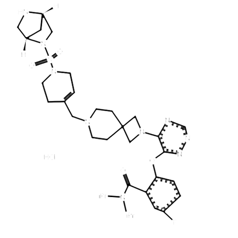 CC(C)N(C(=O)c1cc(F)ccc1Oc1nncnc1N1CC2(CCN(CC3=CCN(S(=O)(=O)N4C[C@@H]5C[C@H]4CN5)CC3)CC2)C1)C(C)C.Cl